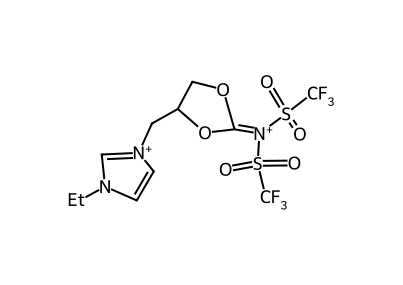 CCn1cc[n+](CC2COC(=[N+](S(=O)(=O)C(F)(F)F)S(=O)(=O)C(F)(F)F)O2)c1